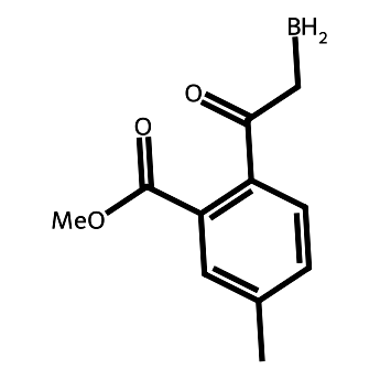 BCC(=O)c1ccc(C)cc1C(=O)OC